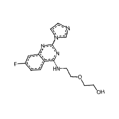 OCCOCCNc1nc(-n2ccnc2)nc2cc(F)ccc12